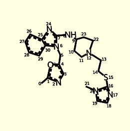 Cc1ncc(Cn2c(NC3CCN(CCSc4nccn4C)CC3)nc3ccccc32)o1